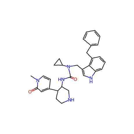 Cn1ccc(C2CCNCC2NC(=O)N(Cc2c[nH]c3cccc(Cc4ccccc4)c23)C2CC2)cc1=O